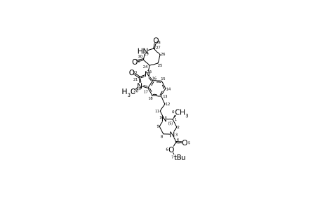 C[C@H]1CN(C(=O)OC(C)(C)C)CCN1CCc1ccc2c(c1)n(C)c(=O)n2C1CCC(=O)NC1=O